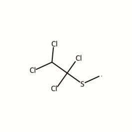 [CH2]SC(Cl)(Cl)C(Cl)Cl